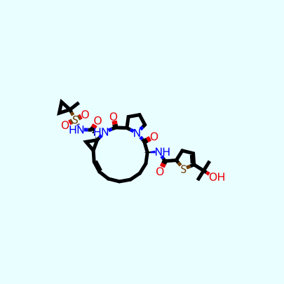 CC(C)(O)C1=CCC(C(=O)N[C@H]2CCCCC/C=C\C3C[C@@]3(C(=O)NS(=O)(=O)C3(C)CC3)NC(=O)C3CCCN3C2=O)S1